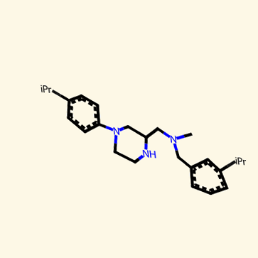 CC(C)c1ccc(N2CCNC(CN(C)Cc3cccc(C(C)C)c3)C2)cc1